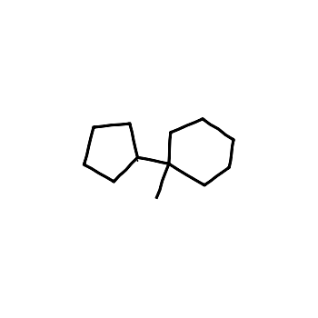 CC1([C]2CCCC2)CCCCC1